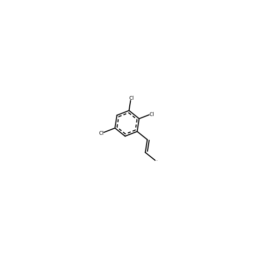 [CH2]/C=C/c1cc(Cl)cc(Cl)c1Cl